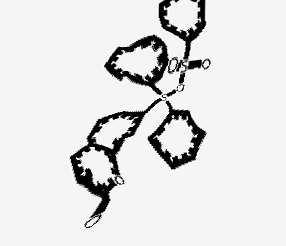 O=c1ccc2ccc(S(OS(=O)(=O)c3ccccc3)(c3ccccc3)c3ccccc3)cc2o1